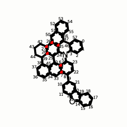 c1ccc(N(c2ccc(-c3ccc4oc5ccccc5c4c3)cc2)c2ccccc2-c2cccc3cccc(C4CCCCC4)c23)c(-c2cccc3ccccc23)c1